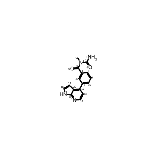 CN(C(N)=O)C(=O)c1cccc(-c2ccnc3[nH]ccc23)c1